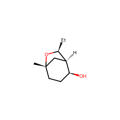 CC[C@@H]1O[C@@]2(C)CC[C@H](O)[C@H]1C2